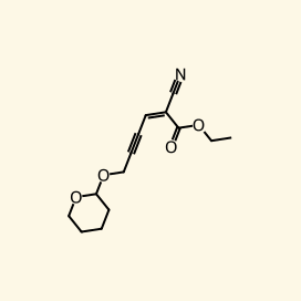 CCOC(=O)C(C#N)=CC#CCOC1CCCCO1